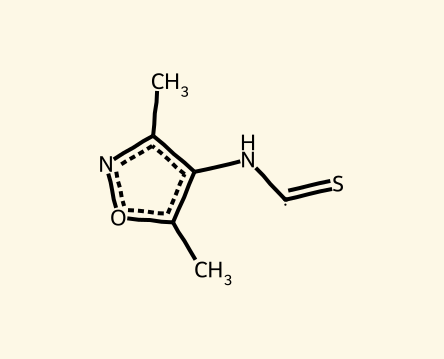 Cc1noc(C)c1N[C]=S